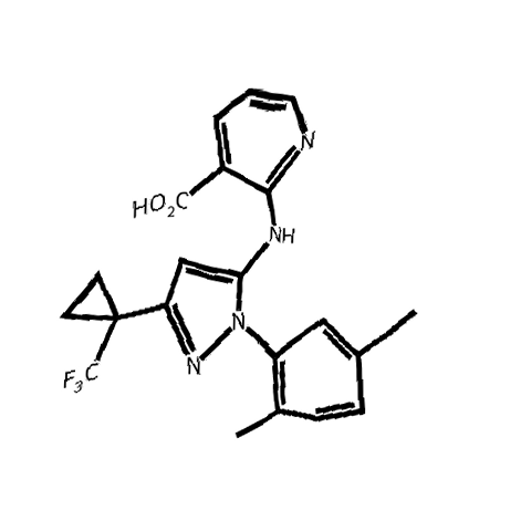 Cc1ccc(C)c(-n2nc(C3(C(F)(F)F)CC3)cc2Nc2ncccc2C(=O)O)c1